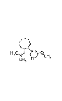 COc1cncc(/C2=C/CCCCCC2CN(C)C)c1